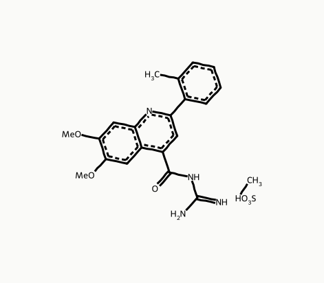 COc1cc2nc(-c3ccccc3C)cc(C(=O)NC(=N)N)c2cc1OC.CS(=O)(=O)O